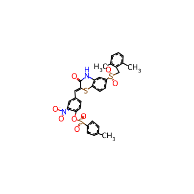 Cc1ccc(S(=O)(=O)Oc2ccc(C=C3Sc4ccc(S(=O)(=O)Cc5c(C)cccc5C)cc4NC3=O)cc2[N+](=O)[O-])cc1